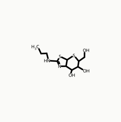 CCCNC1=NC2C(S1)SC(CO)C(O)C2O